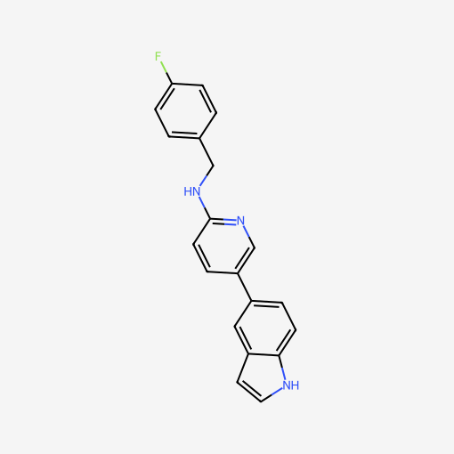 Fc1ccc(CNc2ccc(-c3ccc4[nH]ccc4c3)cn2)cc1